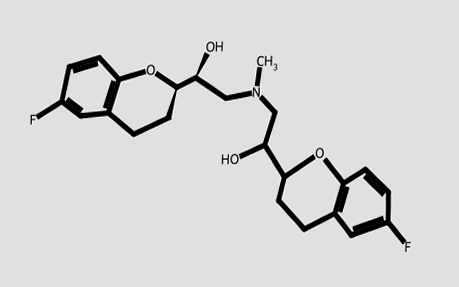 CN(CC(O)C1CCc2cc(F)ccc2O1)C[C@H](O)[C@H]1CCc2cc(F)ccc2O1